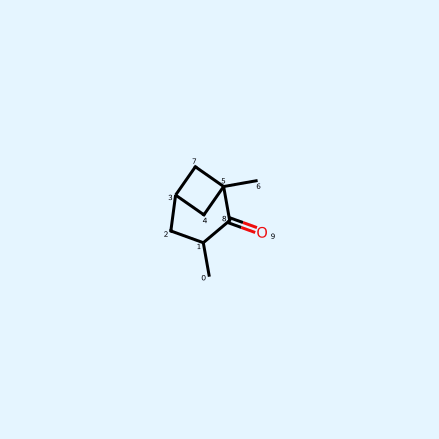 CC1CC2CC(C)(C2)C1=O